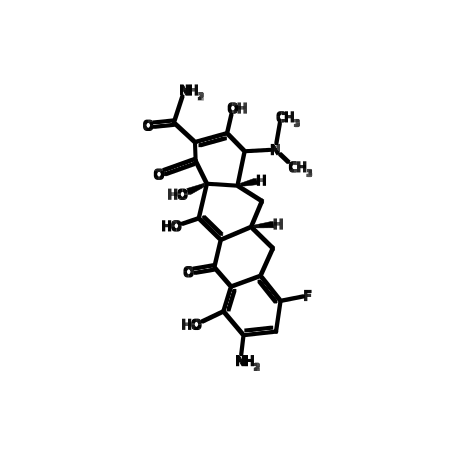 CN(C)C1C(O)=C(C(N)=O)C(=O)[C@@]2(O)C(O)=C3C(=O)c4c(O)c(N)cc(F)c4C[C@H]3C[C@@H]12